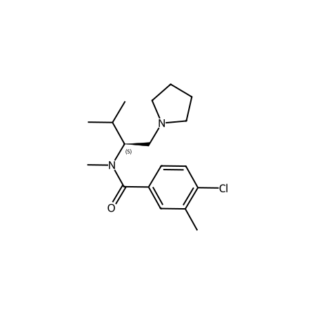 Cc1cc(C(=O)N(C)[C@H](CN2CCCC2)C(C)C)ccc1Cl